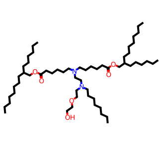 CCCCCCCCC(CCCCCC)COC(=O)CCCCCN(CCCCCC(=O)OCC(CCCCCC)CCCCCCCC)CCN(CCCCCCCC)CCOCCO